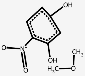 COC.O=[N+]([O-])c1ccc(O)cc1O